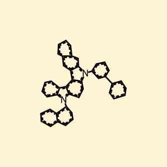 c1ccc(-c2cccc(-n3c4cc5ccccc5cc4c4c5c6ccccc6n(-c6cccc7ccccc67)c5ccc43)c2)cc1